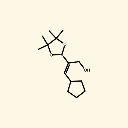 CC1(C)OB(C(=CC2CCCC2)CO)OC1(C)C